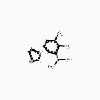 CCCCCN(CCCCC)c1cccc(C)c1C.c1c[nH]nn1